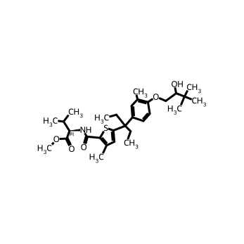 CCC(CC)(c1ccc(OCC(O)C(C)(C)C)c(C)c1)c1cc(C)c(C(=O)N[C@@H](C(=O)OC)C(C)C)s1